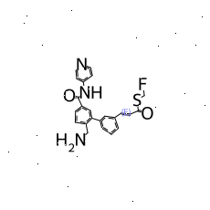 NCc1ccc(C(=O)Nc2ccncc2)cc1-c1cccc(/C=C/C(=O)SCF)c1